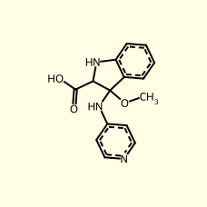 COC1(Nc2ccncc2)c2ccccc2NC1C(=O)O